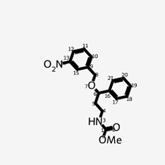 COC(=O)NCCC(OCc1cccc([N+](=O)[O-])c1)c1ccccc1